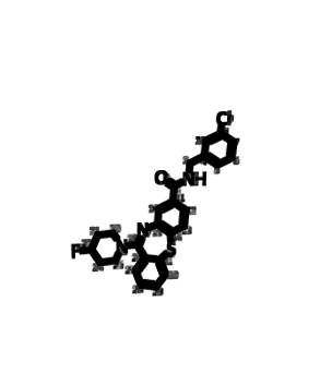 O=C(NCc1cccc(Cl)c1)c1ccc2c(c1)N=C(N1CCC(F)CC1)c1ccccc1S2